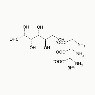 NCC(=O)[O-].NCC(=O)[O-].NCC(=O)[O-].O=C[C@H](O)[C@@H](O)[C@H](O)[C@H](O)CO.[Bi+3]